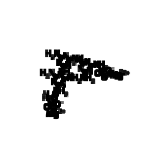 Nc1nc(N)nc(N)n1.Nc1nc(N)nc(N)n1.Nc1nc(N)nc(N)n1.O.O.O=P([O-])([O-])[O-].O=P([O-])([O-])[O-].[Mg+2].[Mg+2].[Mg+2]